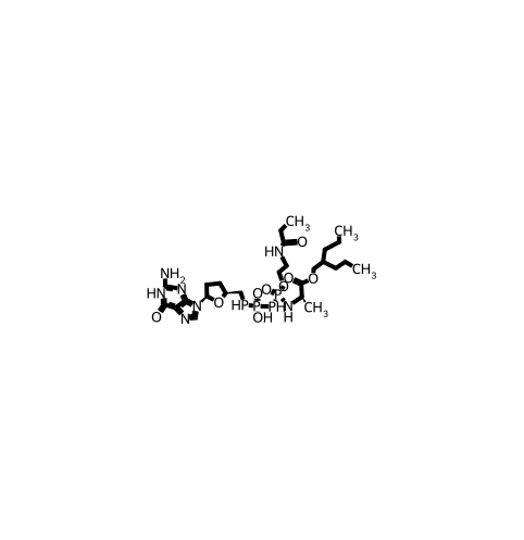 CCCC(CCC)COC(=O)[C@H](C)NP(=O)(OCCNC(=O)CC)PP(=O)(O)PC[C@@H]1CC[C@H](n2cnc3c(=O)[nH]c(N)nc32)O1